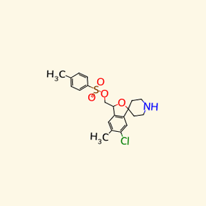 Cc1ccc(S(=O)(=O)OCC2OC3(CCNCC3)c3cc(Cl)c(C)cc32)cc1